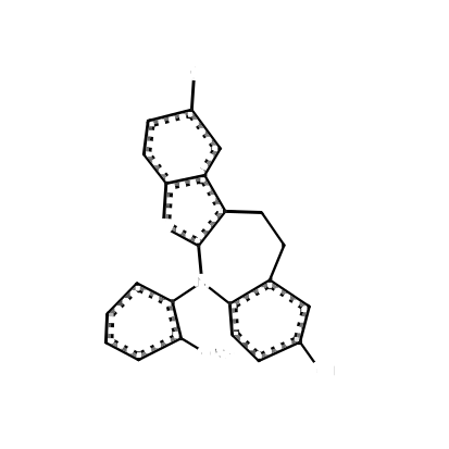 COc1ccccc1N1c2ccc(C)cc2CCc2c1oc1ccc(C)cc21